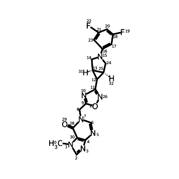 Cn1cnc2ncn(Cc3nc(C4[C@H]5CN(c6cc(F)cc(F)c6)C[C@@H]45)no3)c(=O)c21